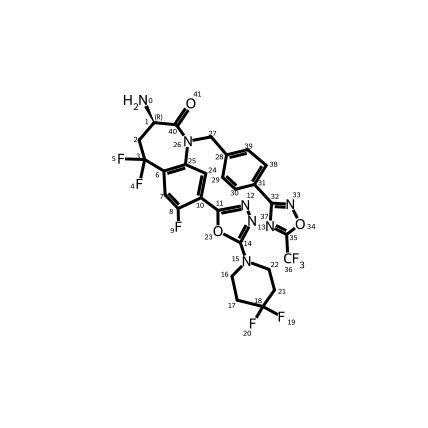 N[C@@H]1CC(F)(F)c2cc(F)c(-c3nnc(N4CCC(F)(F)CC4)o3)cc2N(Cc2ccc(-c3noc(C(F)(F)F)n3)cc2)C1=O